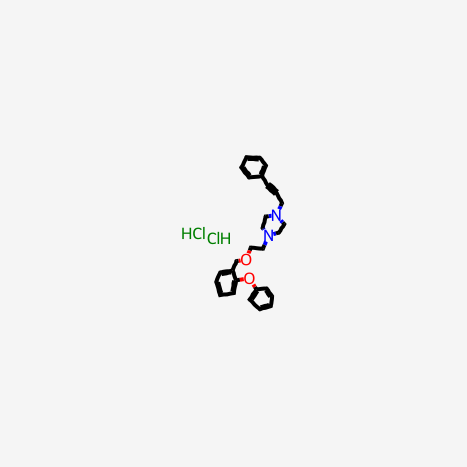 C(#Cc1ccccc1)CN1CCN(CCOCc2ccccc2Oc2ccccc2)CC1.Cl.Cl